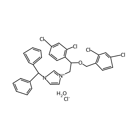 Clc1ccc(COC(C[n+]2ccn(C(c3ccccc3)c3ccccc3)c2)c2ccc(Cl)cc2Cl)c(Cl)c1.O.[Cl-]